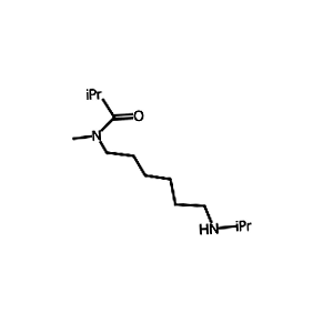 CC(C)NCCCCCCN(C)C(=O)C(C)C